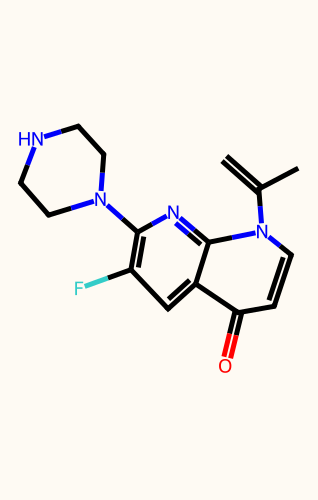 C=C(C)n1ccc(=O)c2cc(F)c(N3CCNCC3)nc21